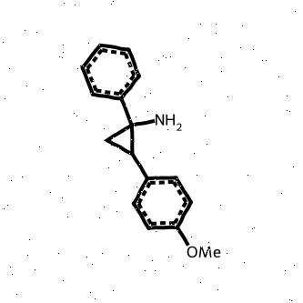 COc1ccc(C2CC2(N)c2ccccc2)cc1